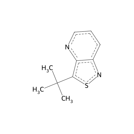 CC(C)(C)c1snc2cccnc12